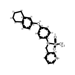 O=S(=O)(N(Cc1cccnc1)c1ccc(Oc2ccc3c(c2)CCCC3)cc1)C(F)(F)F